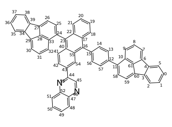 c1ccc2c(c1)-c1cccc3c(-c4ccc(-c5c6ccccc6c(-c6ccc7c8c(cccc68)-c6ccccc6-7)c6ccc(-c7cnc8ccccc8n7)cc56)cc4)ccc-2c13